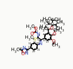 COC(=O)/N=C(SC)/C(=N\c1ccc(-c2noc(C)n2)cc1)c1cc(OC)c(OC)c(C(C)O[Si](C(C)C)(C(C)C)C(C)C)c1